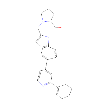 OCC1CCCN1Cc1cc2cc(-c3ccnc(C4=CCCCC4)c3)ccc2[nH]1